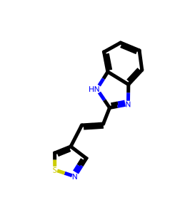 C(=C\c1nc2ccccc2[nH]1)/c1cnsc1